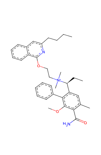 CCCCc1cc2ccccc2c(OCC[N+](C)(C)[C@@H](CC)c2cc(C)c(C(N)=O)c(OC)c2-c2ccccc2)n1